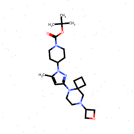 Cc1cc(N2CCN(C3COC3)CC23CCC3)nn1C1CCN(C(=O)OC(C)(C)C)CC1